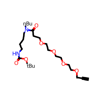 C#CCOCCOCCOCCOCCC(=O)N(CCCC)CCCCNC(=O)OC(C)(C)C